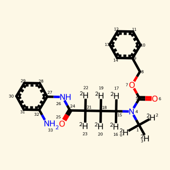 [2H]C([2H])([2H])N(C(=O)OCc1ccccc1)C([2H])([2H])C([2H])([2H])C([2H])([2H])C(=O)Nc1ccccc1N